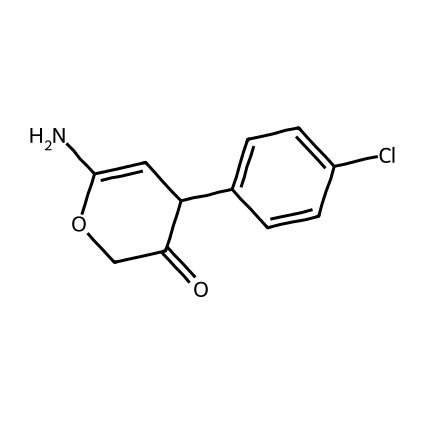 NC1=CC(c2ccc(Cl)cc2)C(=O)CO1